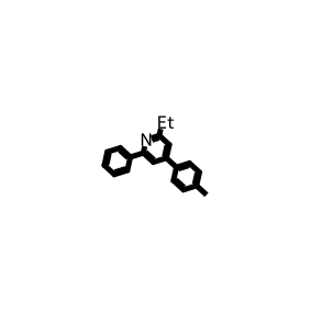 CCc1cc(-c2ccc(C)cc2)cc(-c2ccccc2)n1